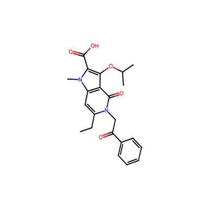 CCc1cc2c(c(OC(C)C)c(C(=O)O)n2C)c(=O)n1CC(=O)c1ccccc1